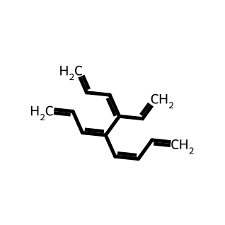 C=C\C=C/C(=C/C=C)C(/C=C)=C\C=C